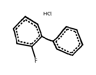 Cl.Fc1ccccc1-c1ccccc1